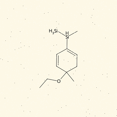 CCOC1(C)C=CC([SiH](C)[SiH3])=CC1